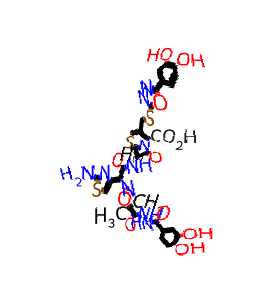 CC(C)(ON=C(C(=O)N[C@@H]1C(=O)N2C(C(=O)O)=C(CSc3nnc(-c4ccc(O)c(O)c4)o3)CS[C@H]12)c1csc(N)n1)C(=O)NNC(=O)c1ccc(O)c(O)c1